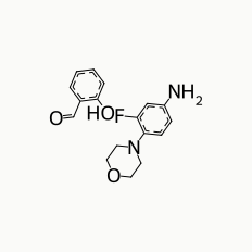 Nc1ccc(N2CCOCC2)c(F)c1.O=Cc1ccccc1O